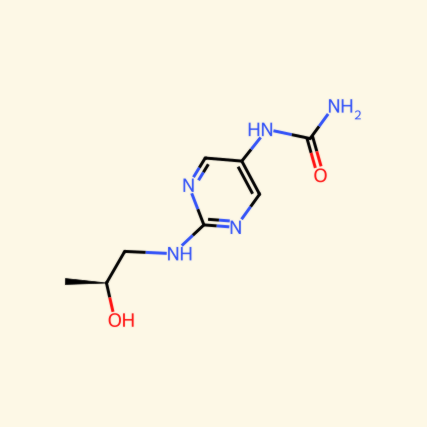 C[C@H](O)CNc1ncc(NC(N)=O)cn1